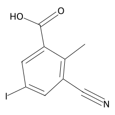 Cc1c(C#N)cc(I)cc1C(=O)O